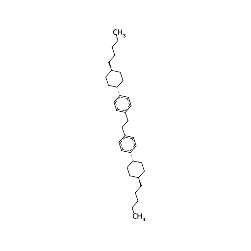 CCCCC[C@H]1CC[C@H](c2ccc(CCc3ccc([C@H]4CC[C@H](CCCCC)CC4)cc3)cc2)CC1